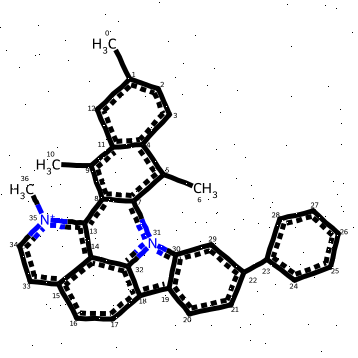 Cc1ccc2c(C)c3c(c(C)c2c1)c1c2c(ccc4c5ccc(-c6ccccc6)cc5n3c42)cc[n+]1C